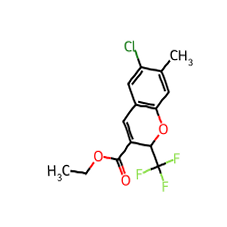 CCOC(=O)C1=Cc2cc(Cl)c(C)cc2OC1C(F)(F)F